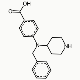 O=C(O)c1ccc(N(Cc2ccccc2)C2CCNCC2)cc1